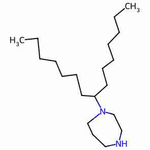 CCCCCCCC(CCCCCCC)N1CCCNCC1